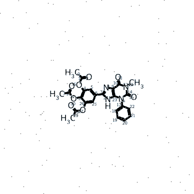 CC(=O)Oc1cc(-c2nc3c(=O)n(C)c(=O)n(-c4ccccc4)c3[nH]2)cc(OC(C)=O)c1OC(C)=O